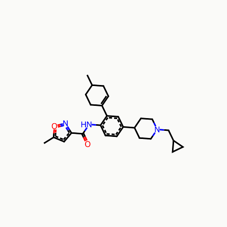 Cc1cc(C(=O)Nc2ccc(C3CCN(CC4CC4)CC3)cc2C2=CCC(C)CC2)no1